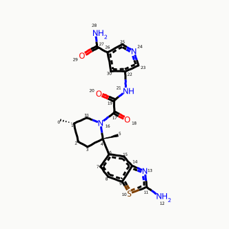 C[C@H]1CC[C@@](C)(c2ccc3sc(N)nc3c2)N(C(=O)C(=O)Nc2cncc(C(N)=O)c2)C1